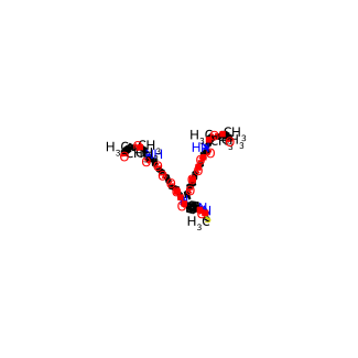 CSc1nnc(-c2ccc(C(=O)N(CCOCCOCCOCCOCCC(=O)NCCC(C)(C)OCCC(C)(C)C=O)CCOCCOCCOCCOCCC(=O)NCCC(C)(C)OCCC(C)(C)C=O)cc2)o1